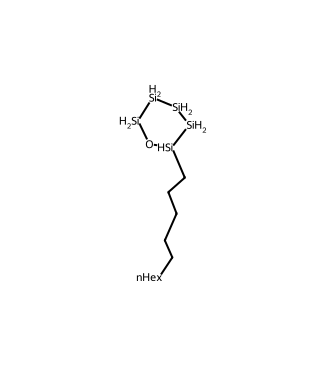 CCCCCCCCCCC[SiH]1O[SiH2][SiH2][SiH2][SiH2]1